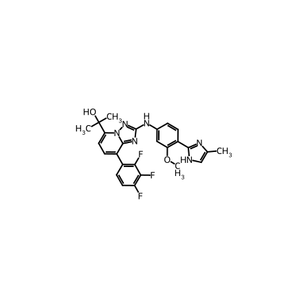 COc1cc(Nc2nc3c(-c4ccc(F)c(F)c4F)ccc(C(C)(C)O)n3n2)ccc1-c1nc(C)c[nH]1